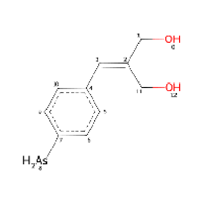 OCC(=Cc1ccc([AsH2])cc1)CO